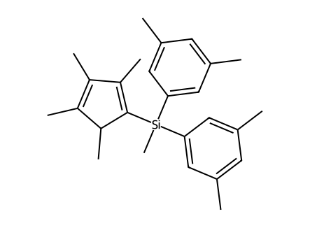 CC1=C(C)C(C)C([Si](C)(c2cc(C)cc(C)c2)c2cc(C)cc(C)c2)=C1C